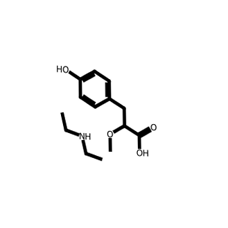 CCNCC.COC(Cc1ccc(O)cc1)C(=O)O